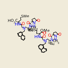 CC[C@H](C)[C@@H](CN(CC(=O)N[C@@H](CCSC)C(=O)O)Cc1cccc2ccccc12)N(C)C(=O)[C@@H]1CCC(=O)N1.CC[C@H](C)[C@@H](CN(CC(=O)N[C@@H](CCSC)C(=O)OC)Cc1cccc2ccccc12)N(C)C(=O)[C@@H]1CCC(=O)N1